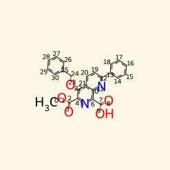 COC(=O)c1nc(C(=O)O)c2nc(-c3ccccc3)ccc2c1OCc1ccccc1